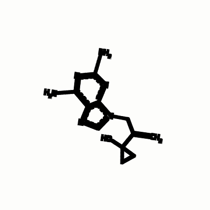 C=C(Cn1cnc2c(N)nc(N)nc21)C1(O)CC1